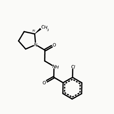 C[C@@H]1CCCN1C(=O)CNC(=O)c1ccccc1Cl